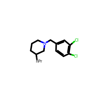 CCCC1CCCN(Cc2ccc(Cl)c(Cl)c2)C1